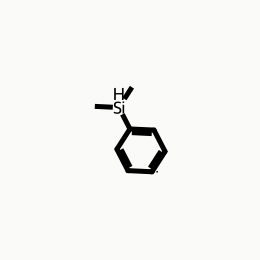 C[SiH](C)c1cc[c]cc1